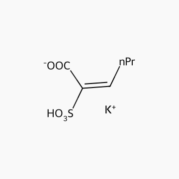 CCC/C=C(\C(=O)[O-])S(=O)(=O)O.[K+]